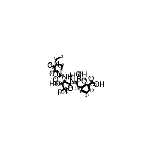 CCN1CCN(C(=O)N[C@@H](C(=O)NC2Cc3cccc(C(=O)O)c3OB2O)[C@H](O)C(F)F)C(=O)C1=O